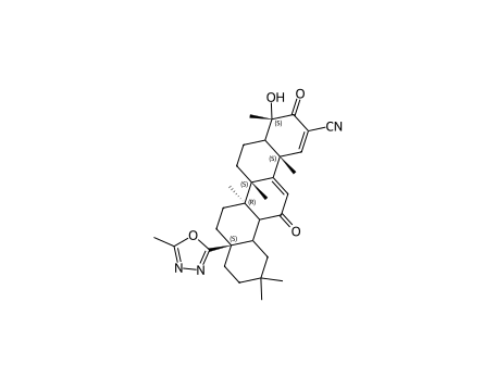 Cc1nnc([C@]23CCC(C)(C)CC2C2C(=O)C=C4[C@@]5(C)C=C(C#N)C(=O)[C@@](C)(O)C5CC[C@@]4(C)[C@]2(C)CC3)o1